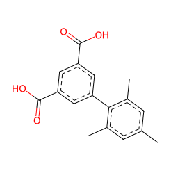 Cc1cc(C)c(-c2cc(C(=O)O)cc(C(=O)O)c2)c(C)c1